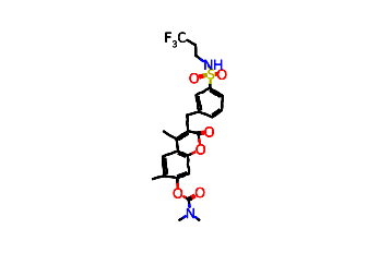 Cc1cc2c(C)c(Cc3cccc(S(=O)(=O)NCCC(F)(F)F)c3)c(=O)oc2cc1OC(=O)N(C)C